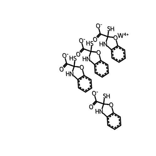 O=C([O-])C1(S)Nc2ccccc2O1.O=C([O-])C1(S)Nc2ccccc2O1.O=C([O-])C1(S)Nc2ccccc2O1.O=C([O-])C1(S)Nc2ccccc2O1.[W+4]